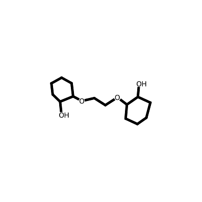 OC1CCCCC1OCCOC1CCCCC1O